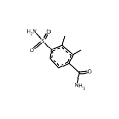 Cc1c(C(N)=O)ccc(S(N)(=O)=O)c1C